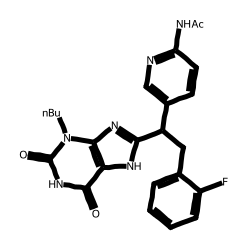 CCCCn1c(=O)[nH]c(=O)c2[nH]c(C(Cc3ccccc3F)c3ccc(NC(C)=O)nc3)nc21